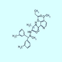 CCC(=O)Oc1c(OC)ccnc1C(=O)N[C@@H](C)C(=O)NN(C)C(c1cccc(C)c1)c1cccc(C)c1